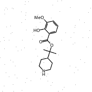 COc1cccc(C(=O)OC(C)(C)C2CCNCC2)c1O